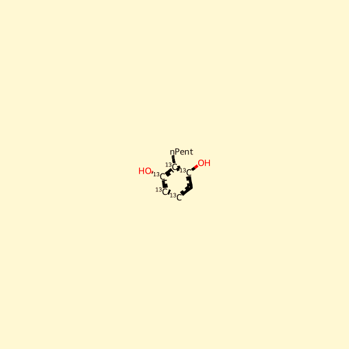 CCCCC[13c]1[13c](O)c[13cH][13cH][13c]1O